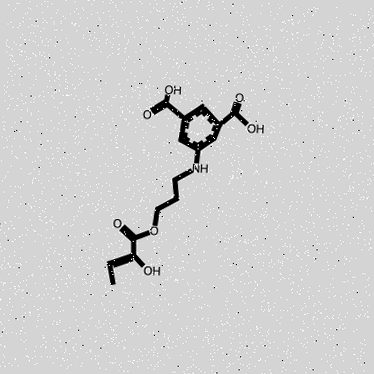 CC=C(O)C(=O)OCCCNc1cc(C(=O)O)cc(C(=O)O)c1